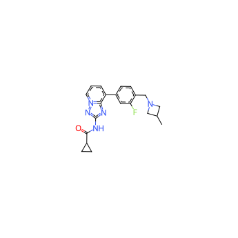 CC1CN(Cc2ccc(-c3cccn4nc(NC(=O)C5CC5)nc34)cc2F)C1